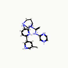 C=C(Nc1cnccn1)N1c2nc(-c3cncc(C)c3)ccc2N2CCC1CC2